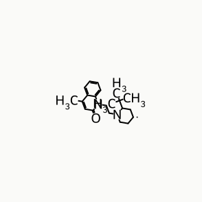 Cc1cc(=O)n(CCN2CC[CH]CC2C(C)(C)C)c2ccccc12